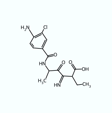 CCC(C(=N)C(=O)C(C)NC(=O)c1ccc(N)c(Cl)c1)C(=O)O